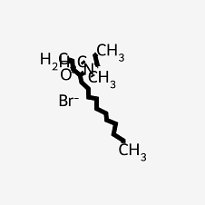 C=CC(=O)C(CCCCCCCCCCC)[N+](C)(C)CCC.[Br-]